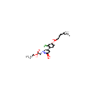 CCCOc1ccc([C@H]2CC(=O)N(CC(=O)OCC)C2)c(F)c1